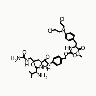 COC(=O)C(Cc1ccc(N(CCCl)CCCl)cc1)NC(=O)OCc1ccc(NC(=O)[C@H](CCCNC(N)=O)NC(=O)[C@@H](N)C(C)C)cc1